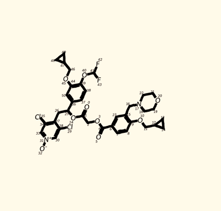 O=C(COC(=O)c1ccc(OCC2CC2)c(CN2CCOCC2)c1)OC(Cc1c(Cl)c[n+]([O-])cc1Cl)c1ccc(OC(F)F)c(OCC2CC2)c1